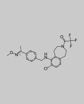 CO/N=C(\C)c1ccc(CNc2c(Cl)ccc3c2CCN(C(=O)C(F)(F)F)CC3)cc1